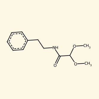 COC(OC)C(=O)NCCc1ccccc1